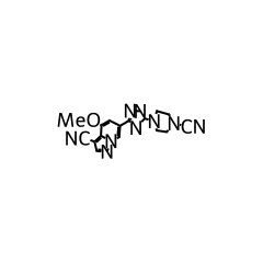 COc1cc(-c2nnc(N3CCN(C#N)CC3)n2C)cn2ncc(C#N)c12